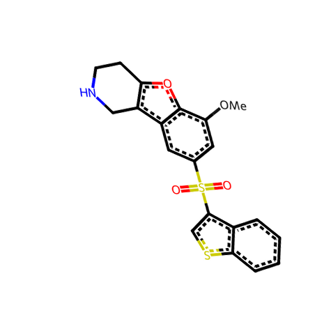 COc1cc(S(=O)(=O)c2csc3ccccc23)cc2c3c(oc12)CCNC3